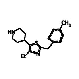 CCc1nc(Cc2ccc(C)cc2)sc1C1CCNCC1